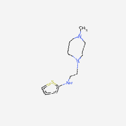 CN1CCN(CCNc2cccs2)CC1